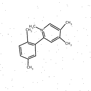 Cc1ccc(C)c(-c2cc(C)c(C)c[n+]2C)c1